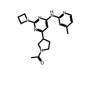 CC(=O)N1CCC(c2cc(Nc3cc(C)ccn3)nc(N3CCC3)n2)C1